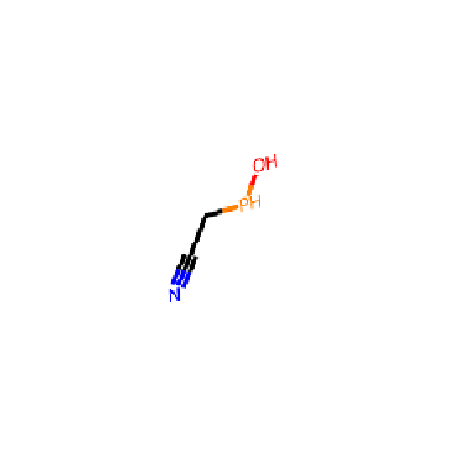 N#CCPO